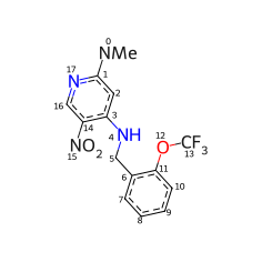 CNc1cc(NCc2ccccc2OC(F)(F)F)c([N+](=O)[O-])cn1